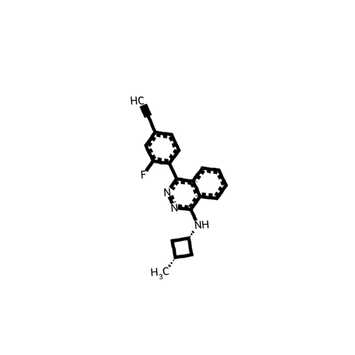 C#Cc1ccc(-c2nnc(N[C@H]3C[C@@H](C)C3)c3ccccc23)c(F)c1